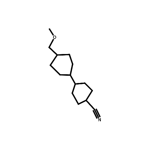 COCC1CCC(C2CCC(C#N)CC2)CC1